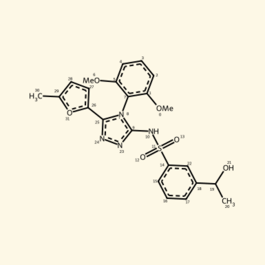 COc1cccc(OC)c1-n1c(NS(=O)(=O)c2cccc(C(C)O)c2)nnc1-c1ccc(C)o1